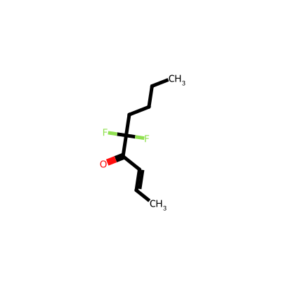 C/C=C/C(=O)C(F)(F)CCCC